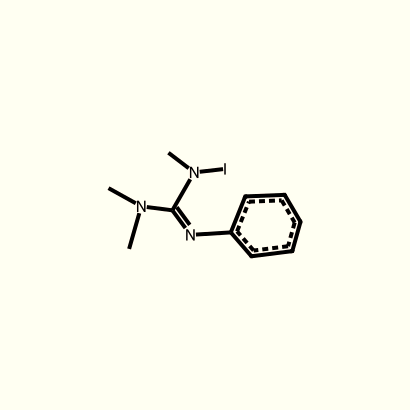 CN(C)C(=Nc1ccccc1)N(C)I